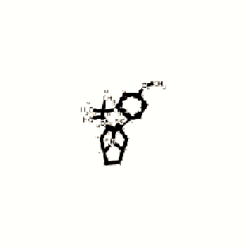 COc1ccc([C@H]2CC3CCC(C[C@@H]2CO)N3C(=O)OC(C)(C)C)cc1